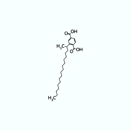 CCCCCCCCCCCCCCCCC(C)c1cc(C(=O)O)ccc1C(=O)O